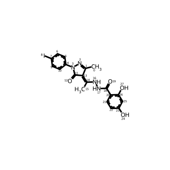 CC1=NN(c2ccc(I)cc2)C(=O)C1=C(C)NNC(=O)c1ccc(O)cc1O